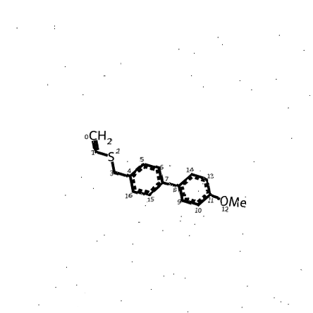 C=CSCc1ccc(-c2ccc(OC)cc2)cc1